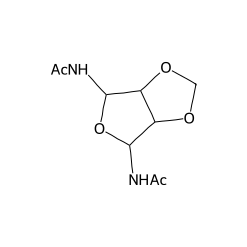 CC(=O)NC1OC(NC(C)=O)C2OCOC12